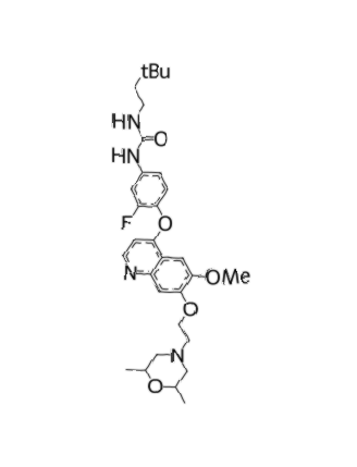 COc1cc2c(Oc3ccc(NC(=O)NCCC(C)(C)C)cc3F)ccnc2cc1OCCN1CC(C)OC(C)C1